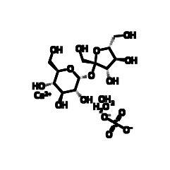 O.O.O=S(=O)([O-])[O-].OC[C@H]1O[C@@](CO)(O[C@H]2O[C@H](CO)[C@@H](O)[C@H](O)[C@H]2O)[C@@H](O)[C@@H]1O.[Ca+2]